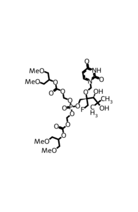 COCC(COC)OC(=O)OCOP(=O)(OCOC(=O)OC(COC)COC)OC[C@@](CF)(OCn1ccc(=O)[nH]c1=O)[C@@H](O)C(C)(C)O